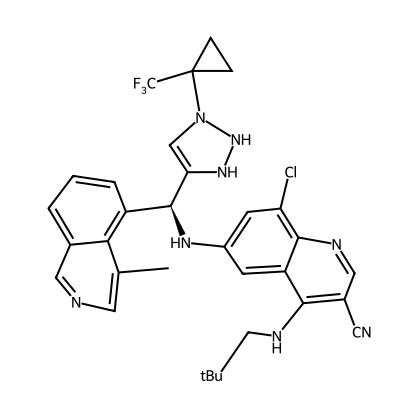 Cc1cncc2cccc([C@H](Nc3cc(Cl)c4ncc(C#N)c(NCC(C)(C)C)c4c3)C3=CN(C4(C(F)(F)F)CC4)NN3)c12